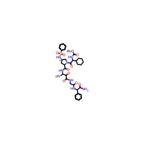 CCCC(NC(=O)C1C[C@@H](NS(=O)(=O)c2ccccc2)CN1C(=O)C(NC(=O)OCC(C)C)C1CCCCC1)C(=O)C(=O)NCC(=O)NC(C(N)=O)c1ccccc1